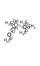 COC1=C(O)C=C(CCc2cc(OC)c(OC)c(OC)c2)CC1N/C=C\C(=O)c1cccc(OC)c1